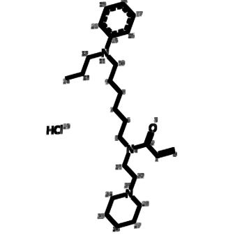 C=CC(=O)N(CCCCCCN(CCC)c1ccccc1)CCN1CCCCC1.Cl